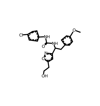 COc1ccc(CC(NC(=O)Nc2ccc(Cl)cc2)c2cc(CCO)on2)cc1